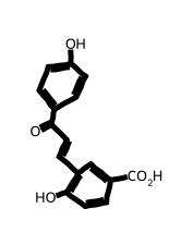 O=C(O)c1ccc(O)c(C=CC(=O)c2ccc(O)cc2)c1